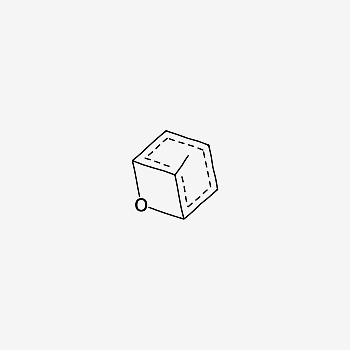 Cc1c2cccc1O2